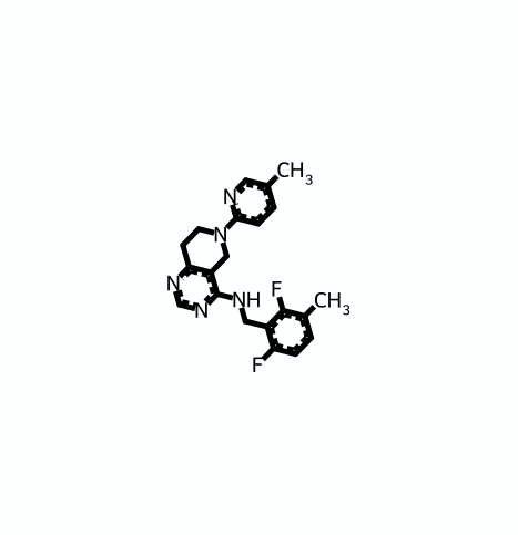 Cc1ccc(N2CCc3ncnc(NCc4c(F)ccc(C)c4F)c3C2)nc1